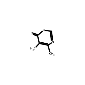 CC1=C(C)C(=O)[N][C]=N1